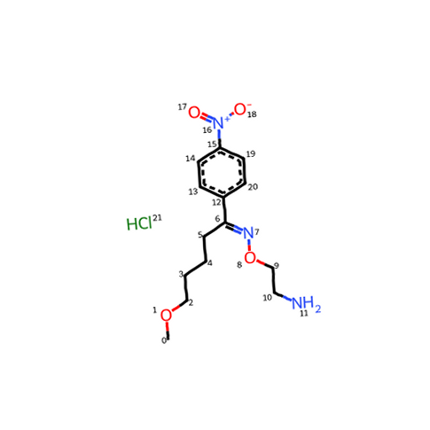 COCCCCC(=NOCCN)c1ccc([N+](=O)[O-])cc1.Cl